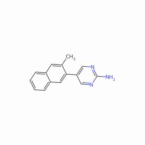 Cc1cc2ccccc2cc1-c1cnc(N)nc1